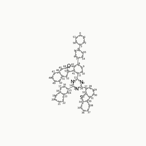 c1ccc(-c2ccc(-c3ccc(-c4nc(-c5ccc6ccccc6c5)nc(-c5cccc6c5sc5ccccc56)n4)c4c3oc3cc5ccccc5cc34)cc2)cc1